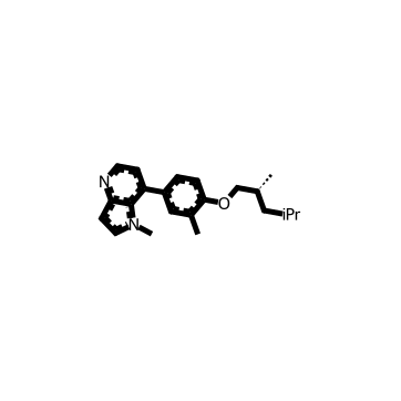 Cc1cc(-c2ccnc3ccn(C)c23)ccc1OC[C@H](C)CC(C)C